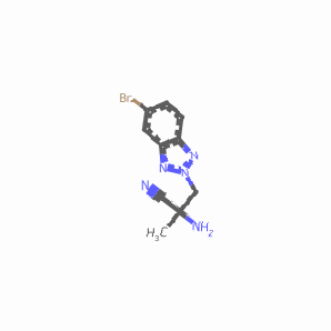 CC(N)(C#N)Cn1nc2ccc(Br)cc2n1